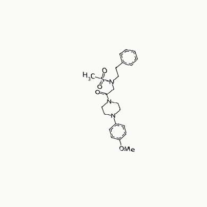 COc1ccc(N2CCN(C(=O)CN(CCc3ccccc3)S(C)(=O)=O)CC2)cc1